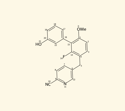 COc1ccc(Cc2ccc(C#N)nc2)c(F)c1-c1cccc(O)c1